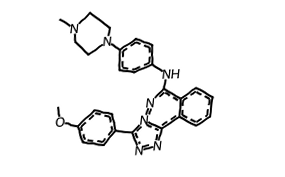 COc1ccc(-c2nnc3c4ccccc4c(Nc4ccc(N5CCN(C)CC5)cc4)nn23)cc1